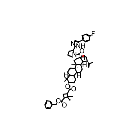 C=C(C)[C@@H]1CC[C@]2(C(=O)N3CCCC3c3ncc(-c4ccc(F)cc4)[nH]3)CC[C@]3(C)[C@H](CC[C@@H]4[C@@]5(C)CC[C@H](OC(=O)C6CC(C(=O)OCc7ccccc7)C6(C)C)C(C)(C)[C@@H]5CC[C@]43C)[C@@H]12